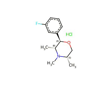 C[C@@H]1[C@@H](c2cccc(F)c2)OC[C@H](C)N1C.Cl